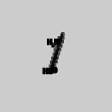 CCCCC(N)CCCCCCCCCCCCC(=O)O